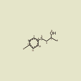 Cc1ccc(SCC(C)O)cc1